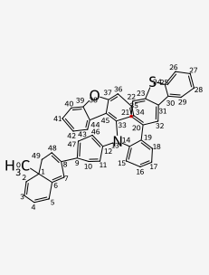 CC12C=CC=CC1=CC(c1ccc(N(c3ccccc3-c3ccc4sc5ccccc5c4c3)c3cccc4oc5ccccc5c34)cc1)=CC2